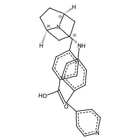 O=C(O)c1ccc(CN2[C@@H]3CC[C@H]2C[C@H](Nc2ccc(Cc4ccncc4)cc2)C3)cc1